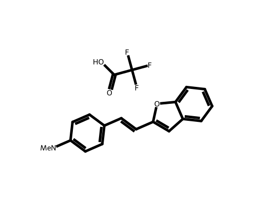 CNc1ccc(/C=C/c2cc3ccccc3o2)cc1.O=C(O)C(F)(F)F